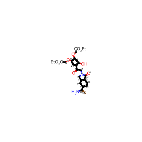 CCOC(=O)COc1cc(O)c(C(=O)CN2Cc3cc(C(N)=S)ccc3C2=O)cc1OCC(=O)OCC